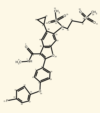 CNC(=O)c1c(-c2ccc(Oc3ccc(F)cc3)cc2)oc2cc(N(CCCS(C)(=O)=O)S(C)(=O)=O)c(C3CC3)cc12